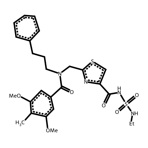 CCNS(=O)(=O)NC(=O)c1csc(CN(CCCc2ccccc2)C(=O)c2cc(OC)c(C)c(OC)c2)n1